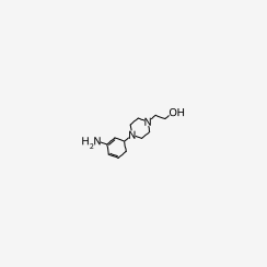 NC1=CC(N2CCN(CCO)CC2)CC=C1